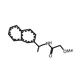 COCC(=O)NC(C)c1ccc2ccccc2c1